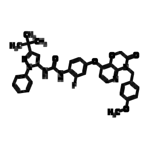 COc1ccc(CN2C(=O)COc3c(Oc4ccc(NC(=O)Nc5cc(C(C)(C)C)nn5-c5ccccc5)c(F)c4)ccnc32)cc1